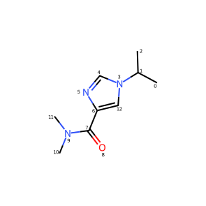 CC(C)n1cnc(C(=O)N(C)C)c1